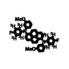 [2H]c1c([2H])c(N(c2cccc(OC)c2)c2ccc3ccc4c(N(c5cccc(OC)c5)c5c([2H])c([2H])c(F)c([2H])c5[2H])ccc5ccc2c3c54)c([2H])c([2H])c1F